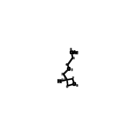 CCC1(COCCOC(C)=O)COC1